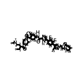 CCC(CCN(C)C)C(=O)N1CCN(C(=O)c2ccc(NC(=O)c3ncc(-c4ccc(-c5cn(CCn6ccccc6=O)nc5C)c(F)c4F)n3C)cc2Cl)CC1